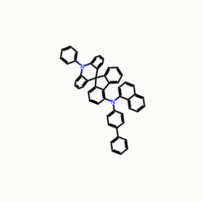 c1ccc(-c2ccc(N(c3cccc4c3-c3ccccc3C43c4ccccc4N(c4ccccc4)c4ccccc43)c3cccc4ccccc34)cc2)cc1